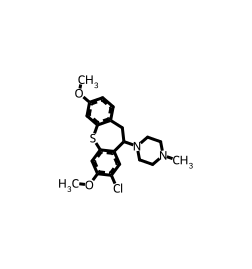 COc1ccc2c(c1)Sc1cc(OC)c(Cl)cc1C(N1CCN(C)CC1)C2